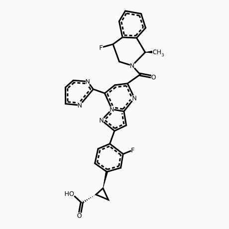 C[C@@H]1c2ccccc2C(F)CN1C(=O)c1cc(-c2ncccn2)n2nc(-c3ccc([C@H]4C[C@@H]4C(=O)O)cc3F)cc2n1